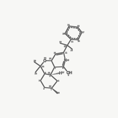 C[C@H]1CCC2[C@H](C1)C1C(O)=NC(C(C)(C)c3ccccc3)=CC1OC2(C)C